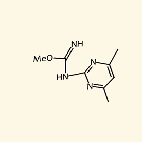 COC(=N)Nc1nc(C)cc(C)n1